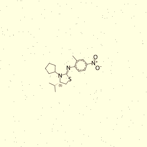 Cc1cc([N+](=O)[O-])ccc1N=C1SC[C@H](C(C)C)N1C1CCCC1